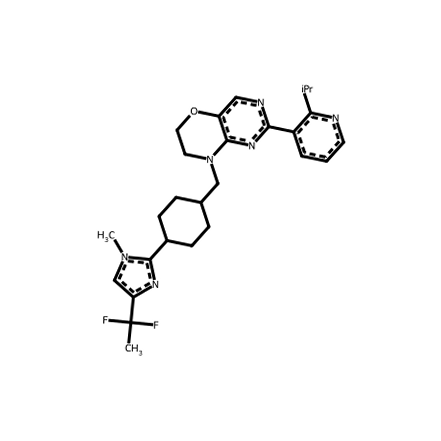 CC(C)c1ncccc1-c1ncc2c(n1)N(CC1CCC(c3nc(C(C)(F)F)cn3C)CC1)CCO2